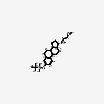 COCCN[C@H]1CCC2C3CCc4cc(O[Si](C)(C)C(C)(C)C)ccc4C3CC[C@@]21C